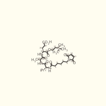 CC(C)[C@H](NC(=O)CCCCCN1C(=O)C=CC1=O)C(=O)N[C@@H](C)C(=O)N[C@@H](CCC(=O)O)C(=O)OCCS(C)(C)C